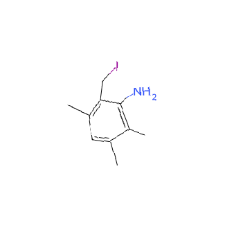 Cc1cc(C)c(CI)c(N)c1C